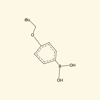 CCC(C)COc1ccc(B(O)O)cc1